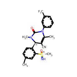 CC1=C(C#N)[C@@H](c2ccc(C)cc2[S@](C)(=N)=O)N(C)C(=O)N1c1cccc(C(F)(F)F)c1